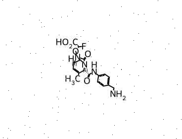 CC1=C[C@@H]2CN(C(=O)N2OC(F)C(=O)O)[C@@H]1C(=O)Nc1ccc(CN)cc1